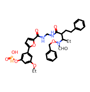 CCOc1cc(O[PH](=O)O)cc(-c2ccc(C(=O)NCNC(=O)C(CCc3ccccc3)C(CC)N(C=O)OCc3ccccc3)o2)c1